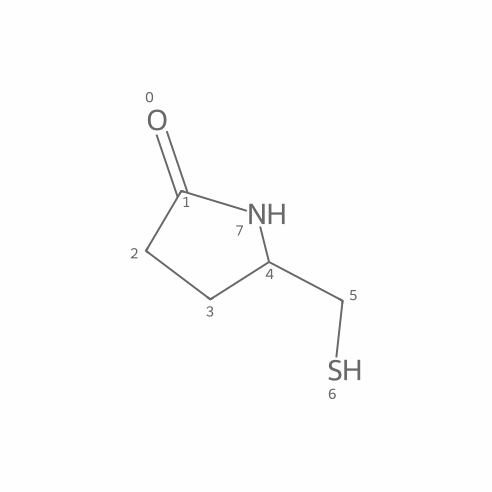 O=C1CCC(CS)N1